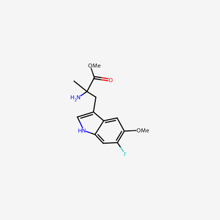 COC(=O)C(C)(N)Cc1c[nH]c2cc(F)c(OC)cc12